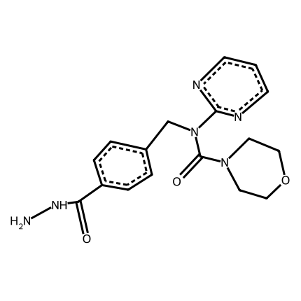 NNC(=O)c1ccc(CN(C(=O)N2CCOCC2)c2ncccn2)cc1